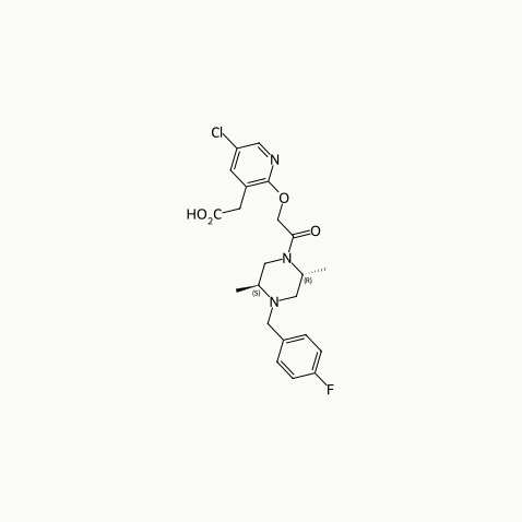 C[C@@H]1CN(Cc2ccc(F)cc2)[C@@H](C)CN1C(=O)COc1ncc(Cl)cc1CC(=O)O